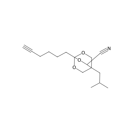 C#CCCCCC12OCC(CC(C)C)(CO1)C(C#N)O2